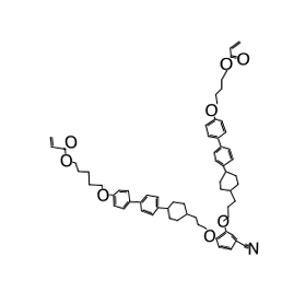 C=CC(=O)OCCCCCOc1ccc(-c2ccc(C3CCC(CCCOc4ccc(C#N)cc4OCCCC4CCC(c5ccc(-c6ccc(OCCCCCOC(=O)C=C)cc6)cc5)CC4)CC3)cc2)cc1